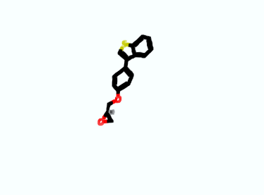 c1ccc2c(-c3ccc(OC[C@H]4CO4)cc3)csc2c1